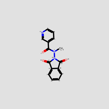 CN(C(=O)c1cccnc1)N1C(=O)c2ccccc2C1=O